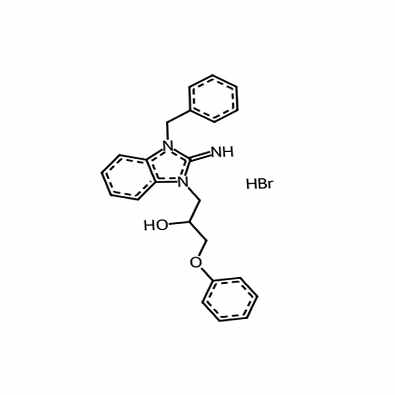 Br.N=c1n(Cc2ccccc2)c2ccccc2n1CC(O)COc1ccccc1